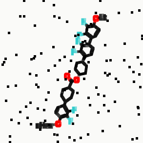 CCCCCCOc1ccc(C2CCC(C(=O)O[C@H]3CC[C@H](c4ccc(-c5ccc(OCC)c(F)c5F)c(F)c4F)CC3)CC2)c(F)c1F